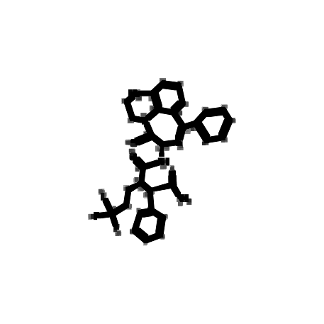 NC(=O)[C@@H](c1ccccc1)[C@@H](CCC(F)(F)F)C(=O)N[C@H]1N=C(c2ccccc2)c2cccc3c2N(CCN3)C1=O